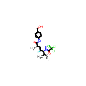 CC(C)[C@H](NC(=O)C(Cl)(Cl)Cl)/C(F)=C/[C@@H](C)C(=O)Nc1ccc(CO)cc1